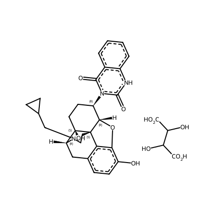 O=C(O)C(O)C(O)C(=O)O.O=c1[nH]c2ccccc2c(=O)n1[C@@H]1CC[C@@]2(O)[C@H]3Cc4ccc(O)c5c4[C@@]2(CCN3CC2CC2)[C@H]1O5